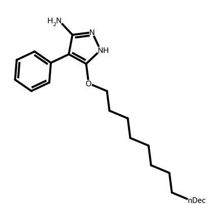 CCCCCCCCCCCCCCCCCCOc1[nH]nc(N)c1-c1ccccc1